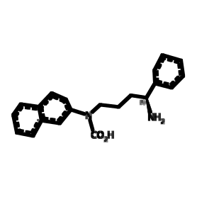 N[C@@H](CCCN(C(=O)O)c1ccc2ccccc2c1)c1ccccc1